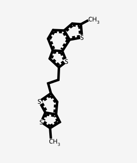 Cc1cc2cc(CCc3cc4ccc5cc(C)sc5c4s3)sc2s1